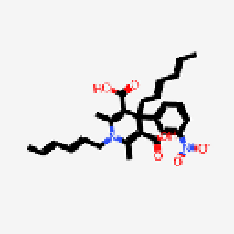 CC=CC=CCN1C(C)=C(C(=O)O)C(CC=CC=CC)(c2cccc([N+](=O)[O-])c2)C(C(=O)O)=C1C